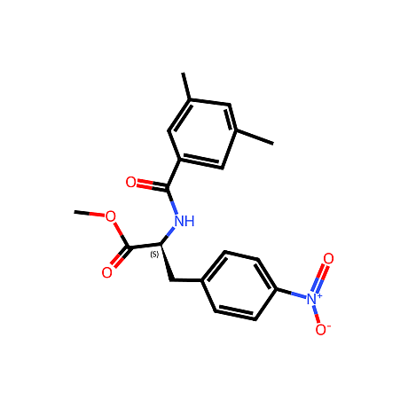 COC(=O)[C@H](Cc1ccc([N+](=O)[O-])cc1)NC(=O)c1cc(C)cc(C)c1